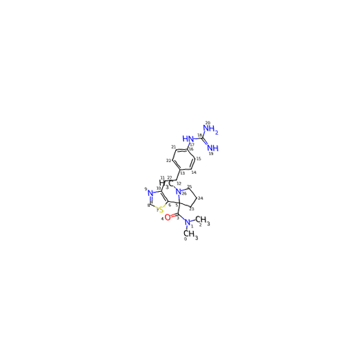 CN(C)C(=O)C1(c2scnc2CCc2ccc(NC(=N)N)cc2)CCCN1C